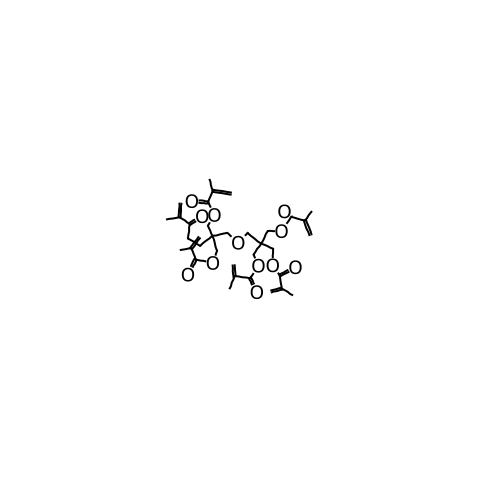 C=C(C)C(=O)CCC(COCC(COC(=O)C(=C)C)(COC(=O)C(=C)C)COC(=O)C(=C)C)(COC(=O)C(=C)C)COC(=O)C(=C)C